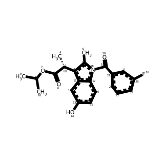 Cc1c([C@@H](C)C(=O)OC(C)C)c2cc(O)ccc2n1C(=O)c1cccc(F)c1